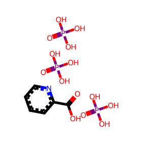 O=C(O)c1ccccn1.O=P(O)(O)O.O=P(O)(O)O.O=P(O)(O)O